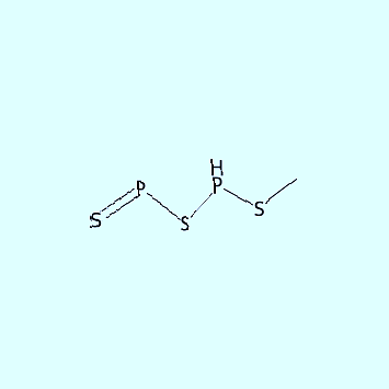 CSPSP=S